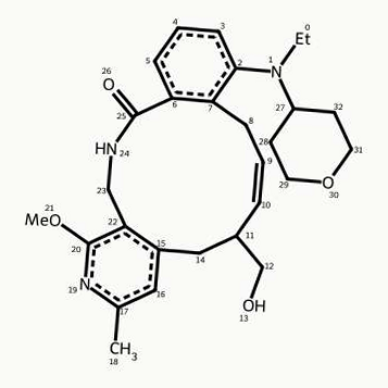 CCN(c1cccc2c1CC=CC(CO)Cc1cc(C)nc(OC)c1CNC2=O)C1CCOCC1